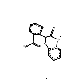 N=C(N)c1ccccc1C1Oc2ccccc2NC1=O